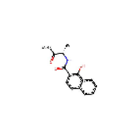 COC(=O)[C@@H](NC(=O)c1ccc2ccccc2c1O)C(C)C